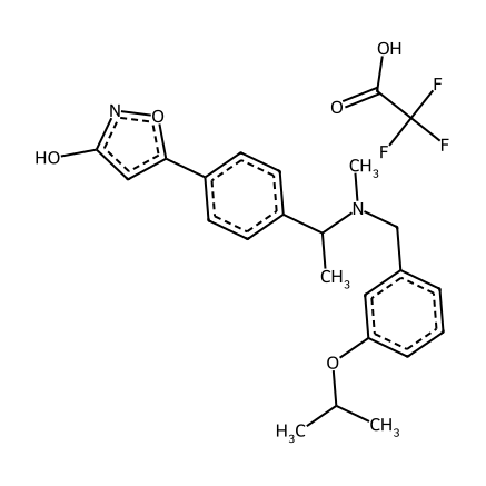 CC(C)Oc1cccc(CN(C)C(C)c2ccc(-c3cc(O)no3)cc2)c1.O=C(O)C(F)(F)F